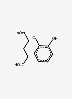 CCCCCCCCCCCC(=O)O.Oc1ccccc1Cl